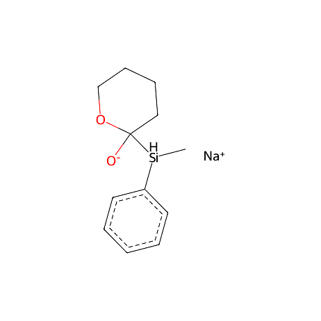 C[SiH](c1ccccc1)C1([O-])CCCCO1.[Na+]